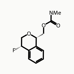 CNC(=O)OC[C@H]1OC[C@@H](F)c2ccccc21